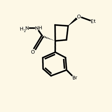 CCO[C@H]1C[C@@](C(=O)NN)(c2cccc(Br)c2)C1